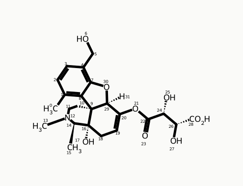 Cc1ccc(CO)c2c1[C@]13CCN(C)[C@H](C)[C@]1(O)CC=C(OC(=O)[C@H](O)[C@@H](O)C(=O)O)[C@@H]3O2